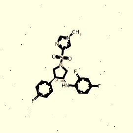 Cn1cnc(S(=O)(=O)N2C[C@H](Nc3ccc(F)cc3F)[C@@H](c3ccc(F)cc3)C2)c1